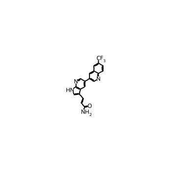 NC(=O)C=Cc1c[nH]c2ncc(-c3cnc4ccc(C(F)(F)F)cc4c3)cc12